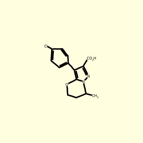 CC1CCOc2c(-c3ccc(Cl)cc3)c(C(=O)O)nn21